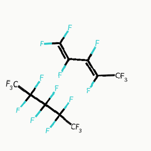 FC(F)(F)C(F)(F)C(F)(F)C(F)(F)C(F)(F)F.FC(F)=C(F)C(F)=C(F)C(F)(F)F